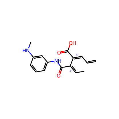 C=C/C=C(C(=O)O)\C(=C/C)C(=O)Nc1cccc(NC)c1